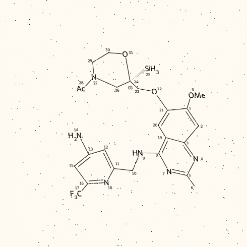 COc1cc2nc(C)nc(NCc3cc(N)cc(C(F)(F)F)n3)c2cc1OC[C@@]1([SiH3])CN(C(C)=O)CCO1